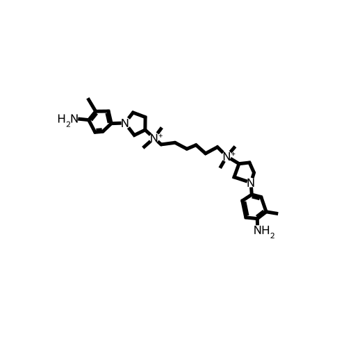 Cc1cc(N2CCC([N+](C)(C)CCCCCC[N+](C)(C)C3CCN(c4ccc(N)c(C)c4)C3)C2)ccc1N